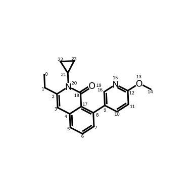 CCc1cc2cccc(-c3ccc(OC)nc3)c2c(=O)n1C1CC1